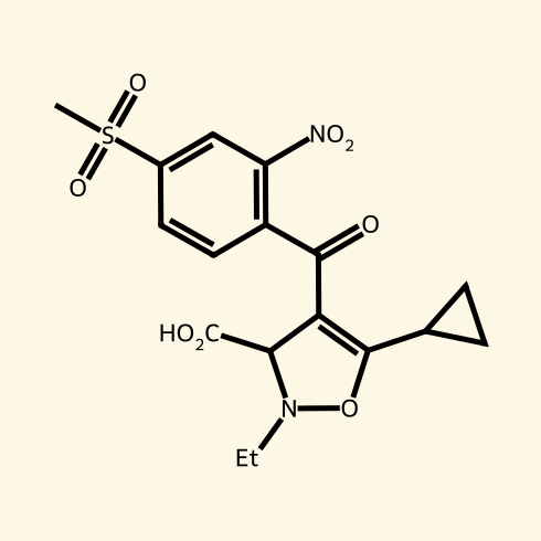 CCN1OC(C2CC2)=C(C(=O)c2ccc(S(C)(=O)=O)cc2[N+](=O)[O-])C1C(=O)O